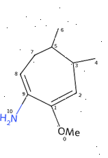 COC1=CC(C)C(C)CC=C1N